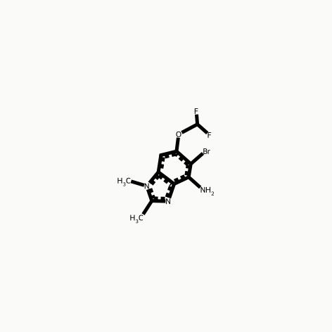 Cc1nc2c(N)c(Br)c(OC(F)F)cc2n1C